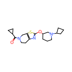 O=C(C1CC1)N1CCc2nc(OC3CCCN(C4CCC4)C3)sc2C1